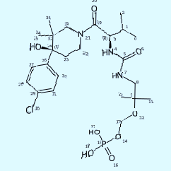 CC(C)[C@@H](NC(=O)NCC(C)(C)OCOP(=O)(O)O)C(=O)N1CC[C@](O)(c2ccc(Cl)cc2)C(C)(C)C1